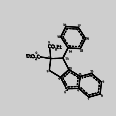 CCOC(=O)C1(C(=O)OCC)Cc2sc3ccccc3c2C1c1ccccc1